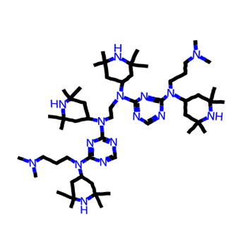 CN(C)CCCN(c1ncnc(N(CCN(c2ncnc(N(CCCN(C)C)C3CC(C)(C)NC(C)(C)C3)n2)C2CC(C)(C)NC(C)(C)C2)C2CC(C)(C)NC(C)(C)C2)n1)C1CC(C)(C)NC(C)(C)C1